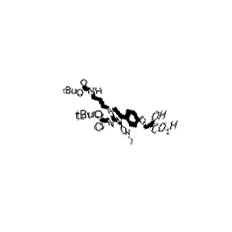 Cn1c(-c2ccc(OCC(O)C(=O)O)cc2)cn(CCCNC(=O)OC(C)(C)C)c1=NC(=O)OC(C)(C)C